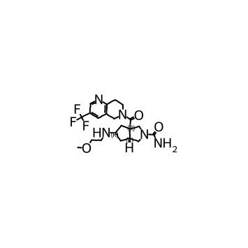 COCCN[C@@H]1C[C@H]2CN(C(N)=O)C[C@@]2(C(=O)N2CCc3ncc(C(F)(F)F)cc3C2)C1